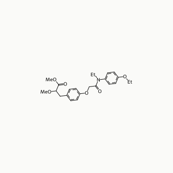 CCOc1ccc(N(CC)C(=O)COc2ccc(CC(OC)C(=O)OC)cc2)cc1